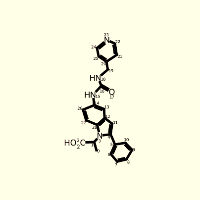 CC(C(=O)O)n1c(-c2ccccc2)cc2cc(NC(=O)NCc3ccncc3)ccc21